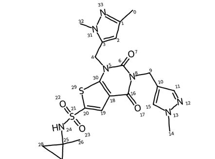 Cc1cc(Cn2c(=O)n(Cc3cnn(C)c3)c(=O)c3cc(S(=O)(=O)NC4(C)CC4)sc32)n(C)n1